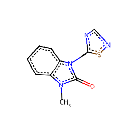 Cn1c(=O)n(-c2ncns2)c2ccccc21